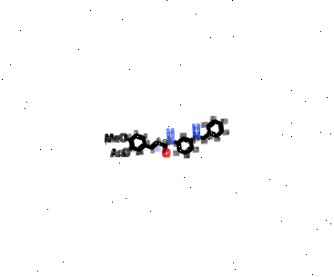 COc1ccc(/C=C/C(=O)Nc2cccc(NCc3ccccc3)c2)cc1OC(C)=O